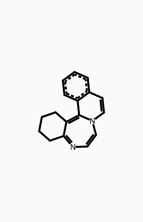 C1=CN2C=Cc3ccccc3C2=C2CCCCC2=N1